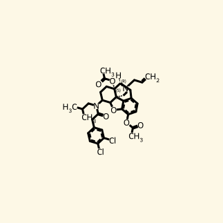 C=CCN1CC[C@]23c4c5ccc(OC(C)=O)c4OC2C(N(CC(C)C)C(=O)Cc2ccc(Cl)c(Cl)c2)CC[C@@]3(OC(C)=O)[C@H]1C5